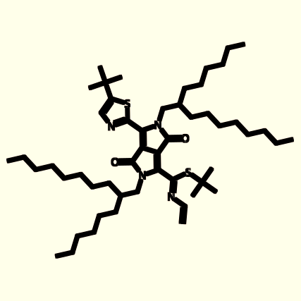 C=C/N=C(\SC(C)(C)C)C1=C2C(=O)N(CC(CCCCCC)CCCCCCCC)C(c3ncc(C(C)(C)C)s3)=C2C(=O)N1CC(CCCCCC)CCCCCCCC